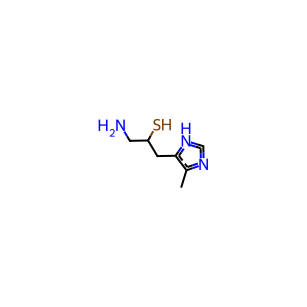 Cc1nc[nH]c1CC(S)CN